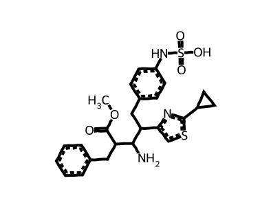 COC(=O)C(Cc1ccccc1)C(N)C(Cc1ccc(NS(=O)(=O)O)cc1)c1csc(C2CC2)n1